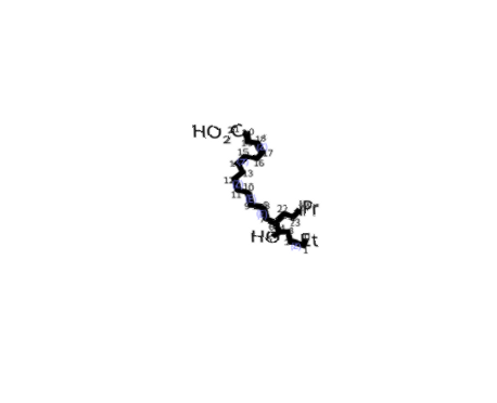 CC/C=C\CC(O)C(/C=C/C=C/C=C\C/C=C\C/C=C\CCC(=O)O)CCC(C)C